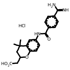 CC1(C)CC(CC(=O)O)Oc2ccc(NC(=O)c3ccc(C(=N)N)cc3)cc21.Cl